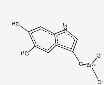 [O-][Br+2]([O-])Oc1c[nH]c2cc(O)c(O)cc12